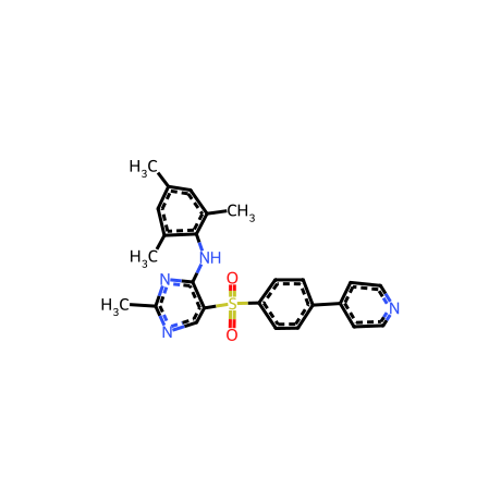 Cc1cc(C)c(Nc2nc(C)ncc2S(=O)(=O)c2ccc(-c3ccncc3)cc2)c(C)c1